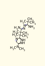 CN(C)C(=N)/C=N\C(=N)C(C)(C)C(C)(C)/C(N)=N/N=C(\N)C(C)(C)C